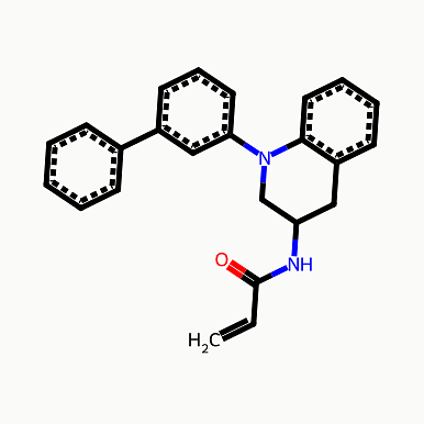 C=CC(=O)NC1Cc2ccccc2N(c2cccc(-c3ccccc3)c2)C1